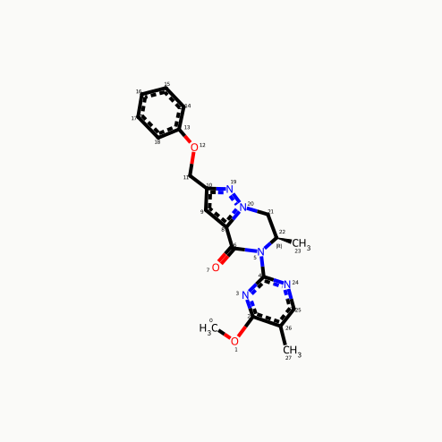 COc1nc(N2C(=O)c3cc(COc4ccccc4)nn3C[C@H]2C)ncc1C